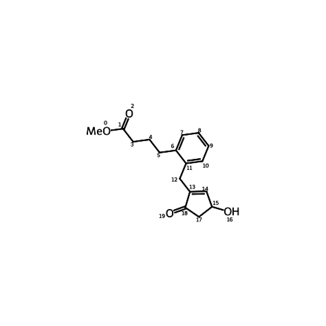 COC(=O)CCCc1ccccc1CC1=CC(O)CC1=O